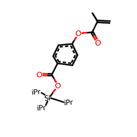 C=C(C)C(=O)Oc1ccc(C(=O)O[Si](C(C)C)(C(C)C)C(C)C)cc1